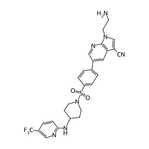 N#Cc1cn(CCN)c2ncc(-c3ccc(S(=O)(=O)N4CCC(Nc5ccc(C(F)(F)F)cn5)CC4)cc3)cc12